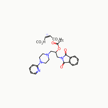 CCC(=O)OC(CN1CCN(c2ccccn2)CC1)CN1C(=O)c2ccccc2C1=O.O=C(O)/C=C\C(=O)O